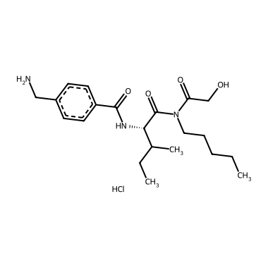 CCCCCN(C(=O)CO)C(=O)[C@@H](NC(=O)c1ccc(CN)cc1)C(C)CC.Cl